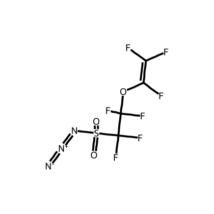 [N-]=[N+]=NS(=O)(=O)C(F)(F)C(F)(F)OC(F)=C(F)F